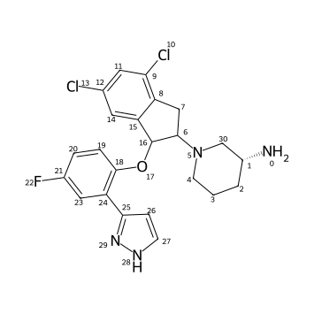 N[C@@H]1CCCN(C2Cc3c(Cl)cc(Cl)cc3C2Oc2ccc(F)cc2-c2cc[nH]n2)C1